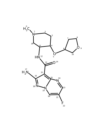 CN1CCC(OC2CCOC2)C(NC(=O)c2c(N)nn3cc(F)cnc23)C1